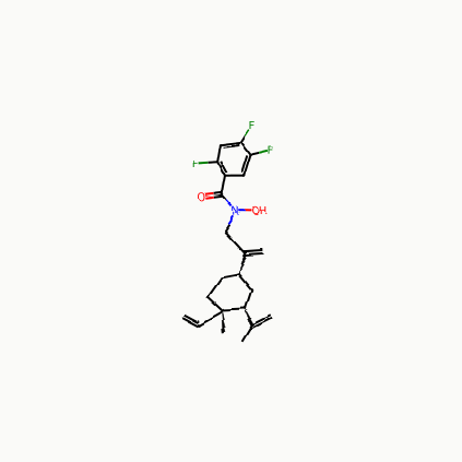 C=C[C@]1(C)CC[C@@H](C(=C)CN(O)C(=O)c2cc(F)c(F)cc2F)C[C@H]1C(=C)C